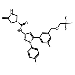 C=C1C[C@H](C(=O)Nc2cc(-c3cc(F)cc(COCC(F)(F)F)c3)n(-c3ccc(F)cc3)n2)CN1